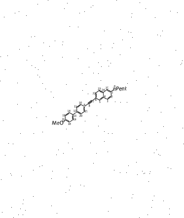 CCCCCc1ccc2cc(C#Cc3ccc(-c4ccc(OC)cc4)cc3)ccc2c1